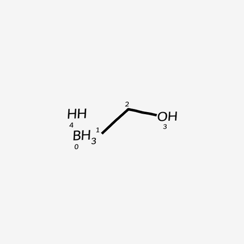 B.CCO.[HH]